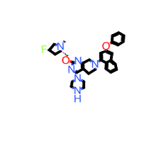 CN1C[C@H](F)C[C@H]1COc1nc2c(c(N3CCNCC3)n1)CCN(c1cc(Oc3ccccc3)cc3ccccc13)C2